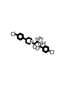 CCCC(NC(=O)c1ccc(Cl)cc1)C(=O)N1CCC(c2ccc(Cl)cc2)CC1